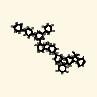 CC1(C)c2ccccc2-c2cc3c(cc21)-c1cc(-c2ccc4oc5c(-c6nc(-c7ccccc7)nc(-c7ccc(-c8ccccc8)cc7)n6)cccc5c4c2)ccc1C31CCCCC1